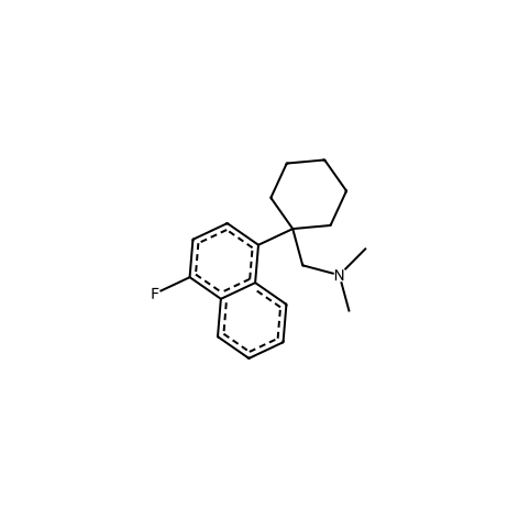 CN(C)CC1(c2ccc(F)c3ccccc23)CCCCC1